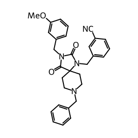 COc1cccc(CN2C(=O)N(Cc3cccc(C#N)c3)C3(CCN(Cc4ccccc4)CC3)C2=O)c1